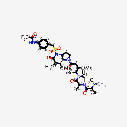 CCC(C)C(C(CC(=O)N1CCC[C@H]1C(OC)C(C)C(=O)NS(=O)(=O)Cc1ccc(NC(=O)C(F)(F)F)cc1)OC)N(C)C(=O)C(NC(=O)C(C(C)C)N(C)C)C(C)C